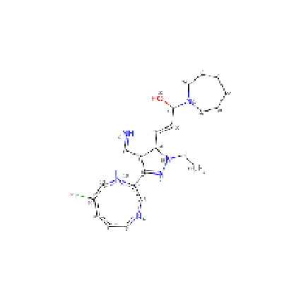 N=CC1C(c2cncccc(F)c[nH]2)=NN(CC(F)(F)F)C1/C=C/C(O)N1CCCCCC1